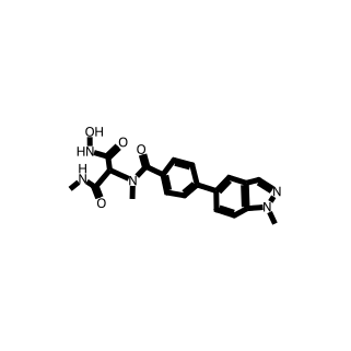 CNC(=O)C(C(=O)NO)N(C)C(=O)c1ccc(-c2ccc3c(cnn3C)c2)cc1